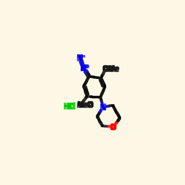 COC1=CC(N2CCOCC2)C(OC)=CC1=[N+]=[N-].Cl